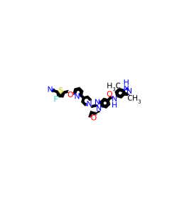 Cc1n[nH]c2c(C)cc(NC(=O)c3ccc4c(c3)nc(CN3CCC(c5cccc(OCc6cc(F)c(C#N)s6)n5)CC3)n4C[C@@H]3CCO3)cc12